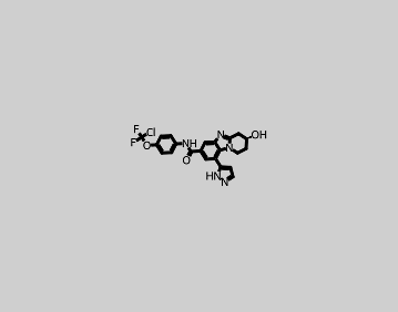 O=C(Nc1ccc(OC(F)(F)Cl)cc1)c1cc(-c2ccn[nH]2)c2c(c1)nc1n2CC[C@H](O)C1